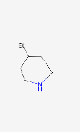 CC[C]1CCNCC1